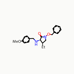 CC[C@@H]1CN(OCc2ccccc2)C(=O)[C@@H]1NCc1ccc(OC)cc1